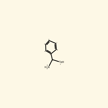 NC([TeH])c1cc[c]cc1